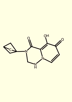 O=C1c2c(O)c(=O)ccn2NCN1C12CC(C1)C2